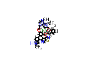 Cc1c(-c2c(-c3cccc4[nH]c(C(F)(F)F)cc34)ncc3snc(OC(Cc4ccccc4OCc4ccnn4CC(F)(F)F)C(=O)O)c23)ccc(OCCN2CCN(C)CC2)c1Cl